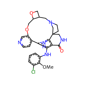 COc1c(Cl)cccc1Nc1c2[nH]c3c1C(=O)NCC31CCN(CC3COC3COc3cnccc3-2)C1